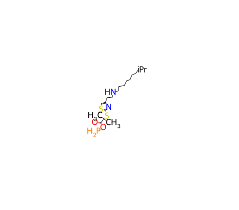 CC(C)CCCCCCCNCCc1csc(SC(C)(C)C(=O)OP)n1